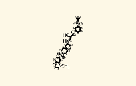 CN1CCOc2ncc(S(=O)(=O)N3CCC4(CC3)C[C@@H](NCC(O)COc3cccc(S(=O)(=O)C5CC5)c3)CO4)cc21